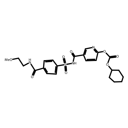 COCCNC(=O)c1ccc(S(=O)(=O)NC(=O)c2ccc(OC(=O)OC3CCCCC3)nc2)cc1